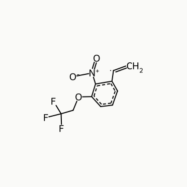 C=[C]c1cccc(OCC(F)(F)F)c1[N+](=O)[O-]